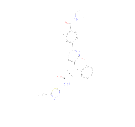 CC(C)(C(=O)Nc1nnc(C(F)(F)F)s1)[C@H]1c2ccccc2Oc2nc(-c3ccc(C(=O)N4CCCC4)c(F)c3)ccc21